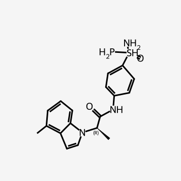 Cc1cccc2c1ccn2[C@H](C)C(=O)Nc1ccc([SH](N)(=O)P)cc1